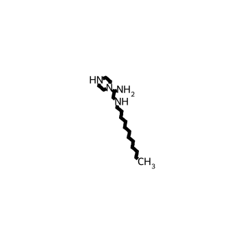 CCCCCCCCCCCCNCC(N)N1CCNCC1